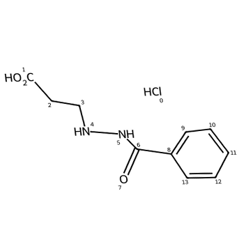 Cl.O=C(O)CCNNC(=O)c1ccccc1